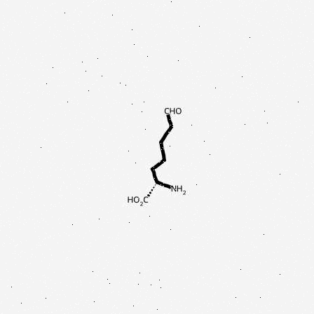 N[C@@H](CCCCC=O)C(=O)O